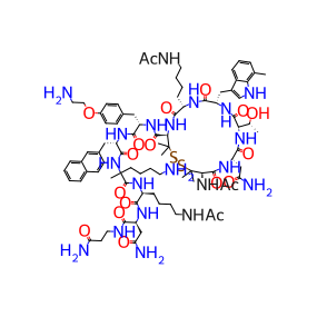 CC(=O)NCCCC[C@@H]1NC(=O)[C@H](Cc2c[nH]c3c(C)cccc23)NC(=O)[C@H]([C@@H](C)O)NC(=O)[C@H](CC(N)=O)NC(=O)[C@@H](NC(C)=O)C(C)(C)SSC(C)(C)[C@@H](C(=O)N[C@@H](Cc2ccc(OCCN)cc2)C(=O)N[C@@H](Cc2ccc3ccccc3c2)C(=O)NC(C)(CCCCN)C(=O)N[C@@H](CCCCNC(C)=O)C(=O)N[C@@H](CC(N)=O)C(=O)NCCC(N)=O)NC1=O